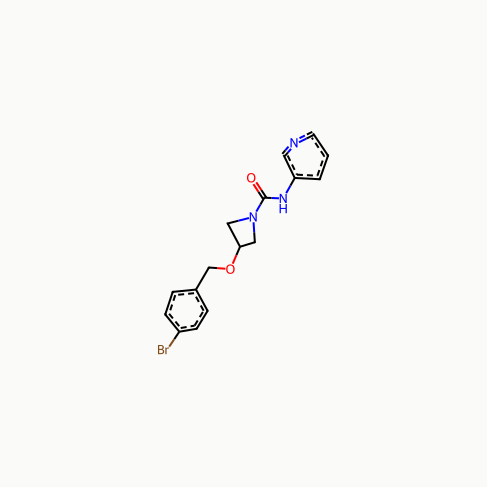 O=C(Nc1cccnc1)N1CC(OCc2ccc(Br)cc2)C1